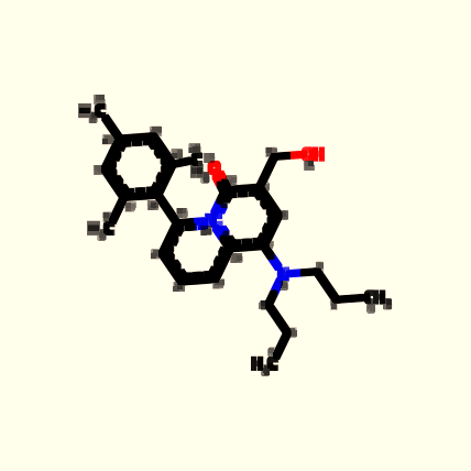 CCCN(CCC)c1cc(CO)c(=O)n2c(-c3c(C)cc(C)cc3C)cccc12